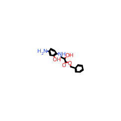 Nc1ccc(NCC(O)C(=O)OCc2ccccc2)c(O)c1